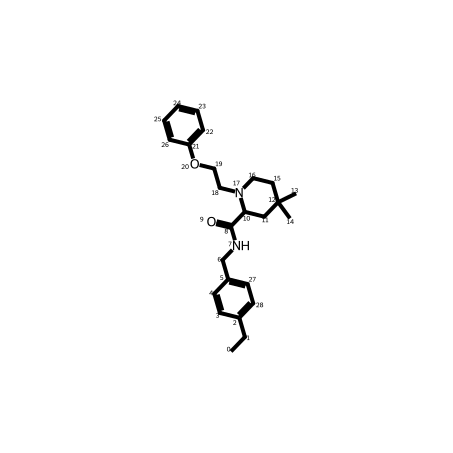 CCc1ccc(CNC(=O)C2CC(C)(C)CCN2CCOc2ccccc2)cc1